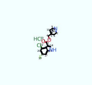 Cl.O=C(OCC12CCN(CC1)CC2)c1c[nH]c2cc(F)cc(Cl)c12